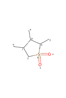 CC1CS(=O)(=O)C(C)C1C